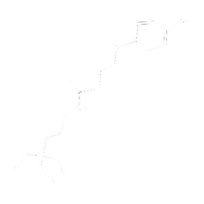 CCO[Si](CCCNC(=O)OCCN(CC)c1ccc(N=O)cc1)(OCC)OCC